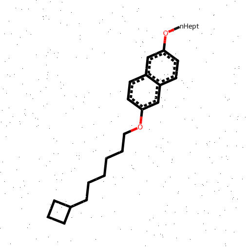 CCCCCCCOc1ccc2cc(OCCCCCCC3CCC3)ccc2c1